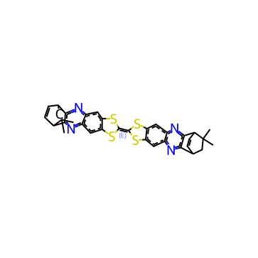 CC1(C)CC2C=CC1c1nc3cc4c(cc3nc12)S/C(=C1/Sc2cc3nc5c(nc3cc2S1)C1C=CC5CC1(C)C)S4